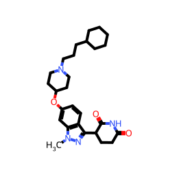 Cn1nc(C2CCC(=O)NC2=O)c2ccc(OC3CCN(CCCC4CCCCC4)CC3)cc21